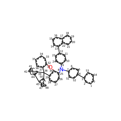 c1ccc(-c2ccc(N(c3ccc(-c4cccc5ccccc45)cc3)c3cccc4c3Oc3ccccc3C43c4ccccc4-c4ccccc43)cc2)cc1